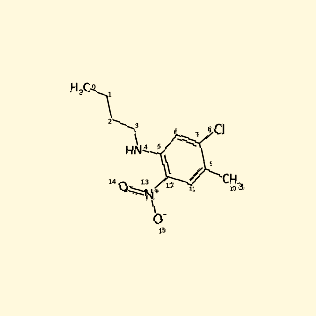 CCCCNc1cc(Cl)c(C)cc1[N+](=O)[O-]